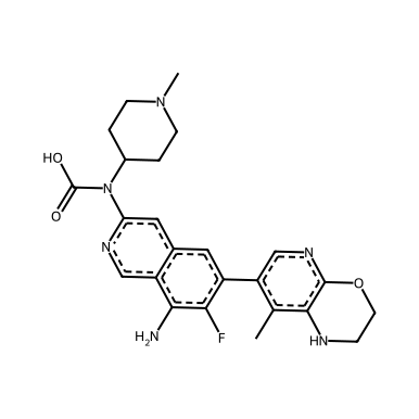 Cc1c(-c2cc3cc(N(C(=O)O)C4CCN(C)CC4)ncc3c(N)c2F)cnc2c1NCCO2